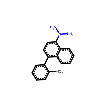 NN(N)c1ccc(-c2ccccc2[N+](=O)[O-])c2ccccc12